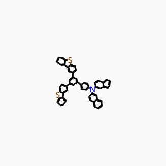 c1ccc2cc(N(c3ccc(-c4cc(-c5ccc6sc7ccccc7c6c5)cc(-c5ccc6sc7ccccc7c6c5)c4)cc3)c3ccc4ccccc4c3)ccc2c1